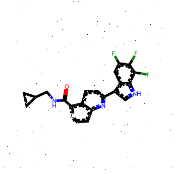 O=C(NCC1CC1)c1cccc2nc(-c3c[nH]c4c(F)c(F)c(F)cc34)ccc12